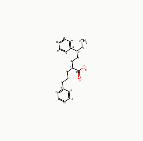 CCC(CCC(CCCc1ccccc1)C(=O)O)c1ccccc1